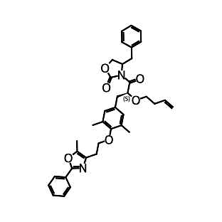 C=CCCO[C@@H](Cc1cc(C)c(OCCc2nc(-c3ccccc3)oc2C)c(C)c1)C(=O)N1C(=O)OCC1Cc1ccccc1